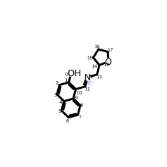 Oc1ccc2ccccc2c1/C=N/CC1CCCO1